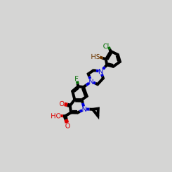 O=C(O)c1cn(C2CC2)c2cc(N3CCN(c4cccc(Cl)c4S)CC3)c(F)cc2c1=O